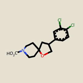 O=C(O)N1CCC2(CC1)CC(c1ccc(Cl)c(Cl)c1)CO2